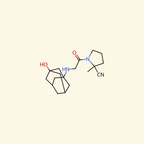 CC1(C#N)CCCN1C(=O)CNC12CC3CC(CC(O)(C3)C1)C2